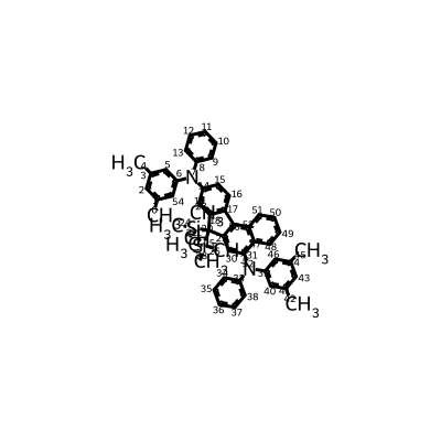 Cc1cc(C)cc(N(c2ccccc2)c2ccc3c(c2)C([Si](C)(C)C)([Si](C)(C)C)c2cc(N(c4ccccc4)c4cc(C)cc(C)c4)c4ccccc4c2-3)c1